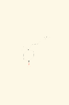 CCOC(=O)C1(CCOC)CCC(=O)CC1